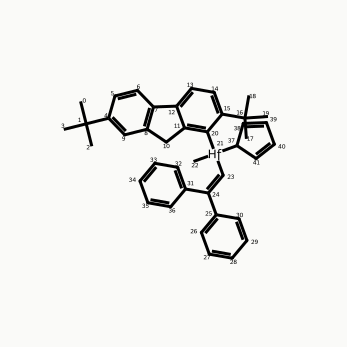 CC(C)(C)c1ccc2c(c1)Cc1c-2ccc(C(C)(C)C)[c]1[Hf]([CH3])([CH]=C(c1ccccc1)c1ccccc1)[CH]1C=CC=C1